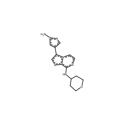 Nn1cc(-c2cnc3c(NC4CCOCC4)nccn23)cn1